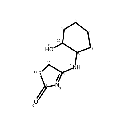 O=C1N=C(NC2CCCCC2O)CS1